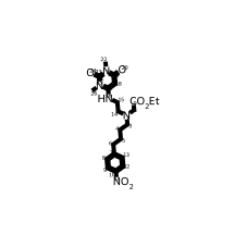 CCOC(=O)CN(CCCCc1ccc([N+](=O)[O-])cc1)CCNc1cc(=O)n(C)c(=O)n1C